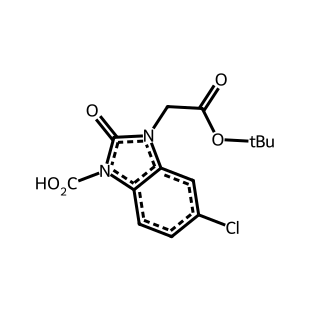 CC(C)(C)OC(=O)Cn1c(=O)n(C(=O)O)c2ccc(Cl)cc21